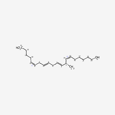 CC(C=CCC=CC/C=C\CCCC(=O)O)/C=C\CCCCCO